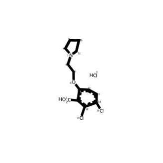 Cl.O=C(O)c1c(OCCN2CCCC2)ccc(Cl)c1Cl